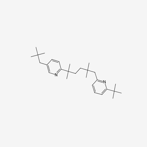 CC(C)(C)Cc1ccc(C(C)(C)CCC(C)(C)Cc2cccc(C(C)(C)C)n2)nc1